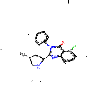 C[C@H]1CN[C@H](c2nc3cccc(Cl)c3c(=O)n2-c2ccccc2)C1